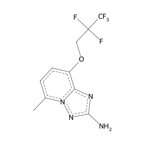 Cc1ccc(OCC(F)(F)C(F)(F)F)c2nc(N)nn12